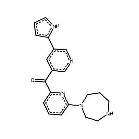 O=C(c1cncc(-c2ccc[nH]2)c1)c1cccc(N2CCCNCC2)n1